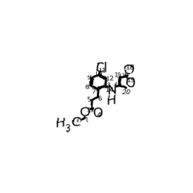 CCOC(=O)CCc1ccc(Cl)cc1NC1=CC(=O)OC1